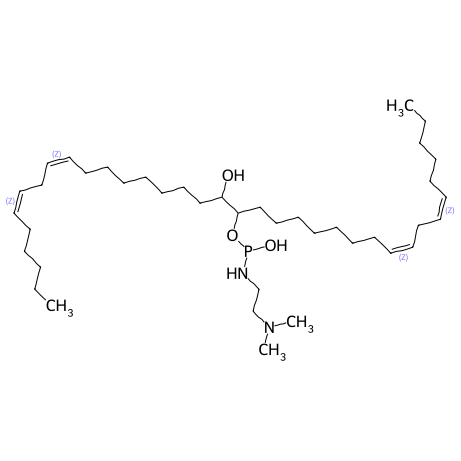 CCCCC/C=C\C/C=C\CCCCCCCC(O)C(CCCCCCC/C=C\C/C=C\CCCCC)OP(O)NCCN(C)C